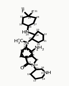 CN(c1ccc2c(c1N)CN(C1CCCNC1)C2=O)C1CCCCC1NC1CCC(F)(F)CC1